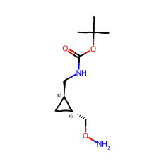 CC(C)(C)OC(=O)NC[C@@H]1C[C@H]1CON